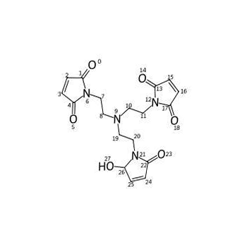 O=C1C=CC(=O)N1CCN(CCN1C(=O)C=CC1=O)CCN1C(=O)C=CC1O